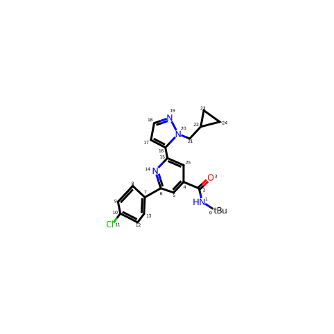 CC(C)(C)NC(=O)c1cc(-c2ccc(Cl)cc2)nc(-c2ccnn2CC2CC2)c1